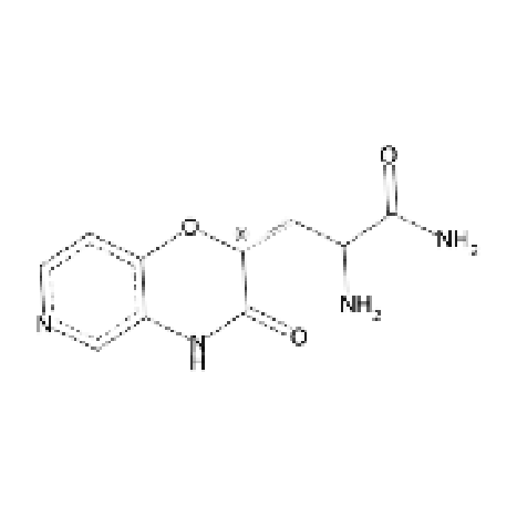 NC(=O)C(N)C[C@H]1Oc2ccncc2NC1=O